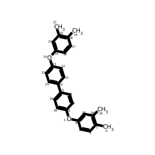 Cc1ccc(Oc2ccc(-c3ccc(Oc4ccc(C)c(C)c4)cc3)cc2)cc1C